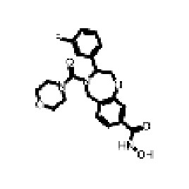 O=C(NO)c1ccc2c(c1)OCC(c1cccc(F)c1)N(C(=O)N1CCOCC1)C2